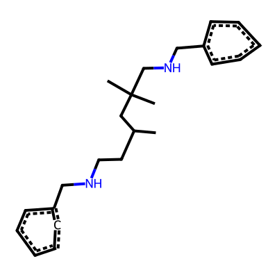 CC(CCNCc1ccccc1)CC(C)(C)CNCc1ccccc1